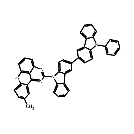 Cc1ccc2c(c1)-c1nc(-n3c4ccccc4c4cc(-c5ccc6c(c5)c5ccccc5n6-c5ccccc5)ccc43)nc3cccc(c13)O2